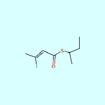 CCC(C)SC(=O)C=C(C)C